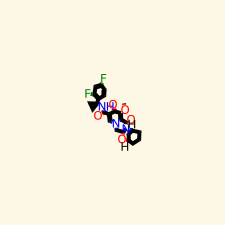 COc1c2n(cc(C(=O)NC3(c4ccc(F)cc4F)CC3)c1=O)CC1O[C@@H]3CCC[C@H](C3)N1C2=O